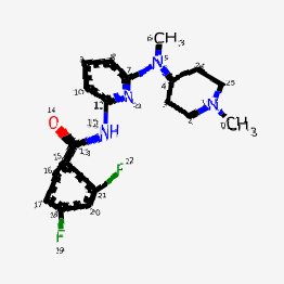 CN1CCC(N(C)c2cccc(NC(=O)c3ccc(F)cc3F)n2)CC1